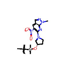 Cn1ncc2cc([N+](=O)[O-])c(N3CC[C@H](O[Si](C)(C)C(C)(C)C)C3)nc21